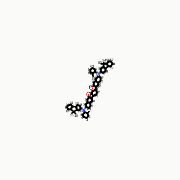 Cc1ccccc1N(c1ccc2c(c1)C(C)(C)c1ccccc1-2)c1ccc2cc3c(cc2c1)oc1c3ccc2c3cc4ccc(N(c5ccc6c(c5)C(C)(C)c5ccccc5-6)c5ccccc5C)cc4cc3oc21